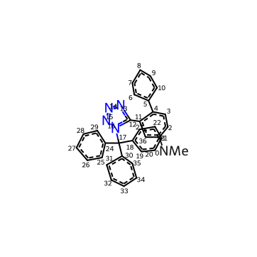 CNc1ccc(-c2ccccc2)c(-c2nnnn2C(c2ccccc2)(c2ccccc2)c2ccccc2)c1